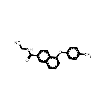 N#CCNC(=O)c1ccc2c(Oc3ccc(C(F)(F)F)cc3)cccc2c1